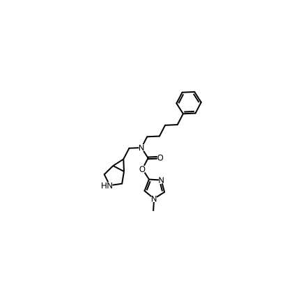 Cn1cnc(OC(=O)N(CCCCc2ccccc2)CC2C3CNCC32)c1